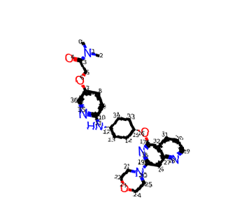 CN(C)C(=O)COc1ccc(N[C@H]2CC[C@@H](Oc3nc(N4CCOCC4)cc4ncccc34)CC2)nc1